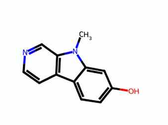 Cn1c2cnccc2c2ccc(O)cc21